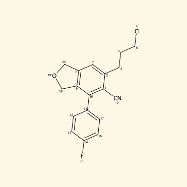 N#Cc1c(CCCCl)cc2c(c1-c1ccc(F)cc1)COC2